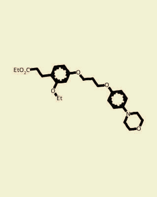 CCOC(=O)CCc1ccc(OCCCOc2ccc(N3CCOCC3)cc2)cc1OCC